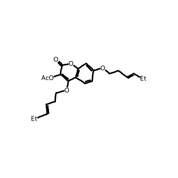 CCC=CCCOc1ccc2c(OCCC=CCC)c(OC(C)=O)c(=O)oc2c1